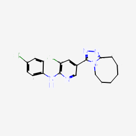 Clc1ccc(Nc2ncc(-c3nnc4n3CCCCCC4)cc2Cl)cc1